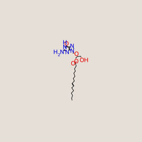 CCCCCCC=CCCCCCCCC(=O)OCC(CO)OCn1cnc2c(=O)[nH]c(N)nc21